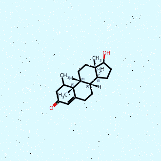 CC1CC(=O)C=C2CC[C@@H]3[C@@H](CC[C@]4(C)C(O)CC[C@@H]34)[C@]21C